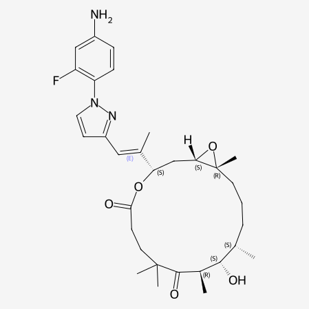 C/C(=C\c1ccn(-c2ccc(N)cc2F)n1)[C@@H]1C[C@@H]2O[C@]2(C)CCC[C@H](C)[C@H](O)[C@@H](C)C(=O)C(C)(C)CCC(=O)O1